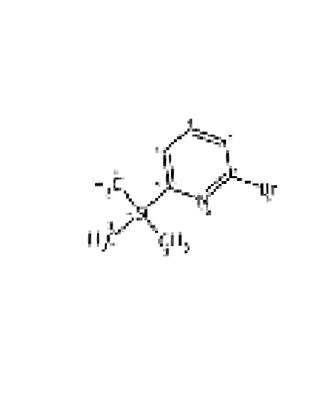 C[Si](C)(C)c1cccc(Br)n1